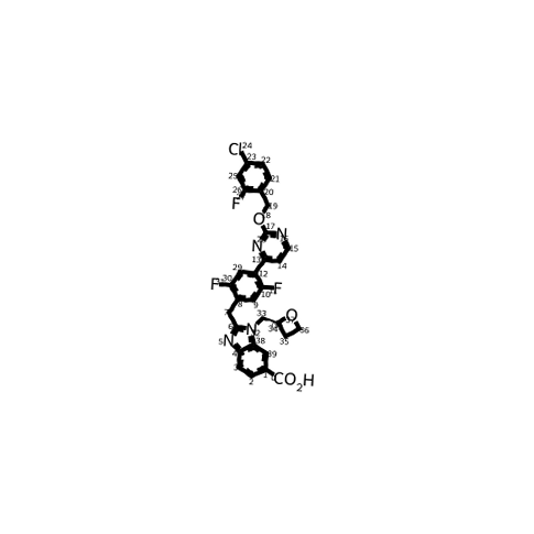 O=C(O)c1ccc2nc(Cc3cc(F)c(-c4ccnc(OCc5ccc(Cl)cc5F)n4)cc3F)n(C[C@@H]3CCO3)c2c1